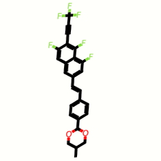 CC1COC(c2ccc(/C=C/c3cc(F)c4c(F)c(C#CC(F)(F)F)c(F)cc4c3)cc2)OC1